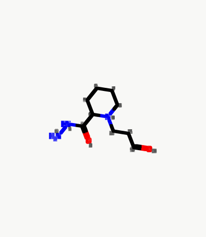 NNC(=O)C1CCCCN1CC[C]=O